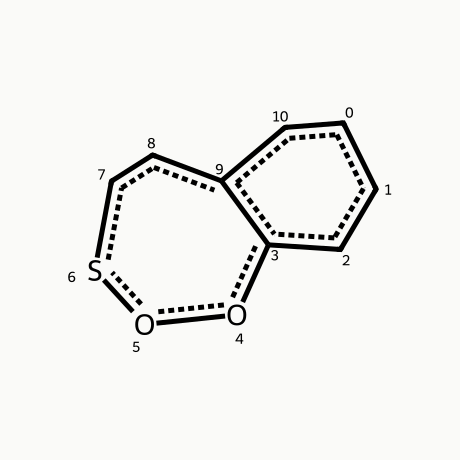 c1ccc2oosccc2c1